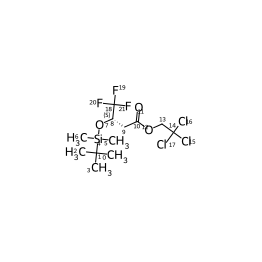 CC(C)(C)[Si](C)(C)O[C@@H](CC(=O)OCC(Cl)(Cl)Cl)C(F)(F)F